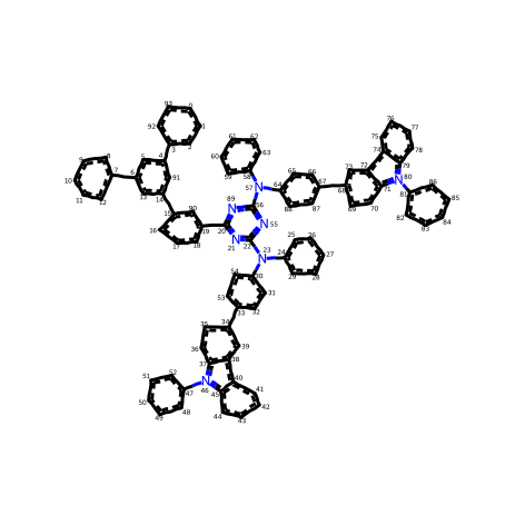 c1ccc(-c2cc(-c3ccccc3)cc(-c3cccc(-c4nc(N(c5ccccc5)c5ccc(-c6ccc7c(c6)c6ccccc6n7-c6ccccc6)cc5)nc(N(c5ccccc5)c5ccc(-c6ccc7c(c6)c6ccccc6n7-c6ccccc6)cc5)n4)c3)c2)cc1